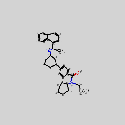 C[C@@H](NC1CCCC(c2ccc(C(=O)N(CC(=O)O)C3CCCCC3)cc2)C1)c1cccc2ccccc12